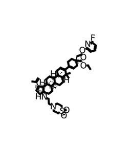 C=C(C)[C@@H]1CC[C@]2(NCCN3CCS(=O)(=O)CC3)CC[C@]3(C)[C@H](CC[C@@H]4[C@@]5(C)CC=C(C6=CC[C@@](CCOc7cccc(F)n7)(C(=O)OCC)CC6)C(C)(C)[C@@H]5CC[C@]43C)[C@@H]12